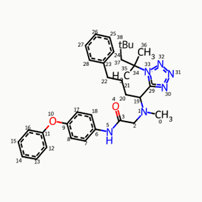 CN(CC(=O)Nc1ccc(Oc2ccccc2)cc1)C(CCCc1ccccc1)c1nnnn1C(C)(C)CC(C)(C)C